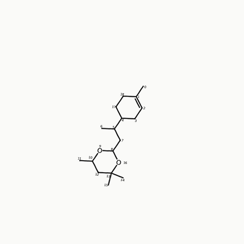 CC1=CCC(C(C)CC2OC(C)CC(C)(C)O2)CC1